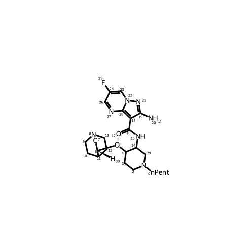 CCCCCN1CCC(O[C@H]2CN3CCC2CC3)C(NC(=O)c2c(N)nn3cc(F)cnc23)C1